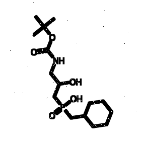 CC(C)(C)OC(=O)NCC(O)CP(=O)(O)CC1CCCCC1